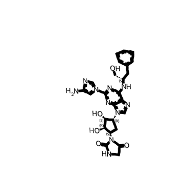 Nc1cn(-c2nc(N[C@H](CO)Cc3ccccc3)c3ncn([C@@H]4C[C@H](N5C(=O)CNC5=O)[C@@H](O)[C@H]4O)c3n2)cn1